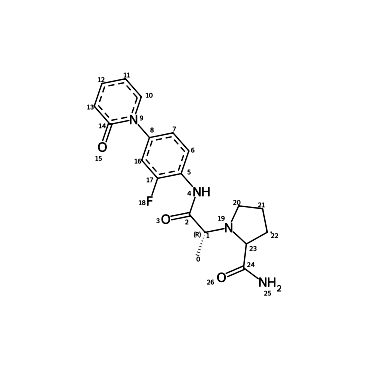 C[C@H](C(=O)Nc1ccc(-n2ccccc2=O)cc1F)N1CC[CH]C1C(N)=O